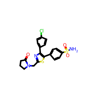 NS(=O)(=O)c1ccc(-c2sc(CN3CCCC3=O)nc2-c2ccc(Cl)cc2)cc1